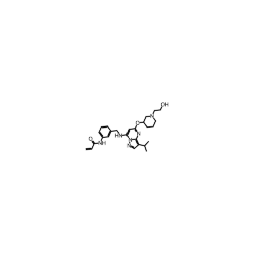 C=CC(=O)Nc1cccc(CNc2cc(OC3CCCN(CCO)C3)nc3c(C(C)C)cnn23)c1